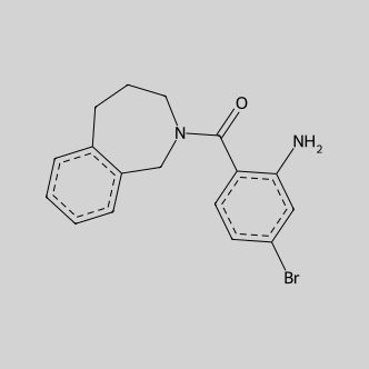 Nc1cc(Br)ccc1C(=O)N1CCCc2ccccc2C1